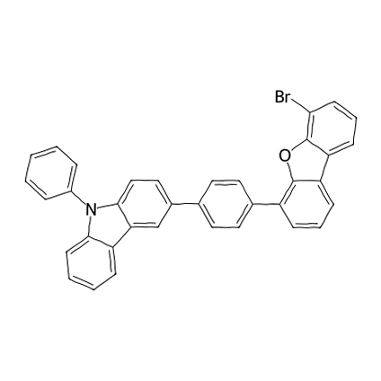 Brc1cccc2c1oc1c(-c3ccc(-c4ccc5c(c4)c4ccccc4n5-c4ccccc4)cc3)cccc12